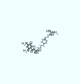 N=C(N)NCCCN1CCC(CCCCNC(=N)NC(=O)c2nc(Cl)c(N)nc2N)CC1